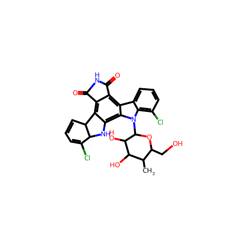 CC1C(CO)OC(n2c3c(Cl)cccc3c3c4c(c5c(c32)NC2C(Cl)=CC=CC52)C(=O)NC4=O)C(O)C1O